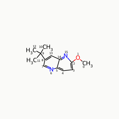 COc1ccc2ncc(C(C)(C)C)cc2n1